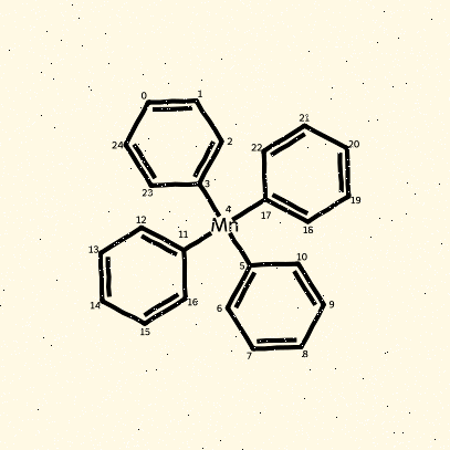 c1cc[c]([Mn]([c]2ccccc2)([c]2ccccc2)[c]2ccccc2)cc1